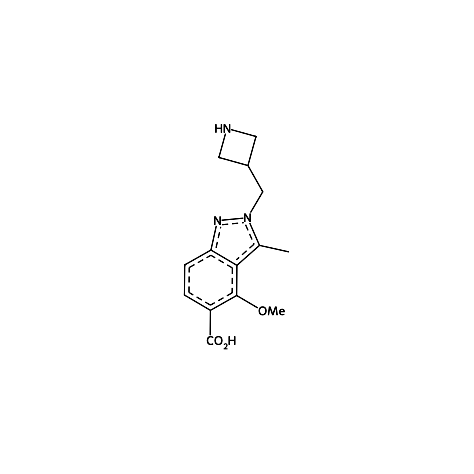 COc1c(C(=O)O)ccc2nn(CC3CNC3)c(C)c12